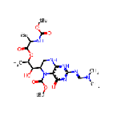 CCC(C)C(NC(=O)OC(C)(C)C)C(=O)OC(C)C(O)C1CNc2[nH]c(N=CN(C)C)nc(=O)c2N1C(=O)OC(C)(C)C